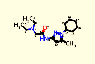 CCN(CC)CC(=O)Nc1cc(C)n(C2CCCCC2)n1